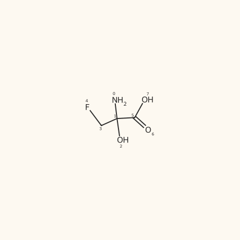 NC(O)(CF)C(=O)O